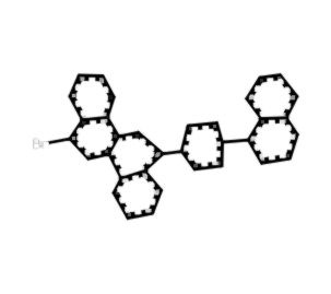 Brc1cc2c3ccccc3c(-c3ccc(-c4cccc5ccccc45)cc3)cc2c2ccccc12